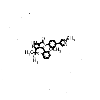 COc1ccccc1C1c2c(C(C)(C)C)n[nH]c2C(=O)N1c1ccc(-c2cnn(C)c2)cc1